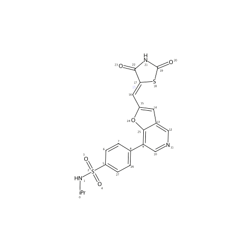 CC(C)NS(=O)(=O)c1ccc(-c2cncc3cc(/C=C4\SC(=O)NC4=O)oc23)cc1